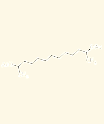 CC(=O)OC(C)CCCCCCCCC[C@H](C)OC(C)=O